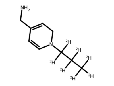 [2H]C([2H])([2H])C([2H])([2H])C([2H])([2H])N1C=CC(CN)=CC1